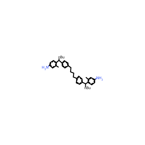 CCCCC(c1ccc(CCCCc2ccc(C(CCCC)c3ccc(N)cc3C)cc2)cc1)c1ccc(N)cc1C